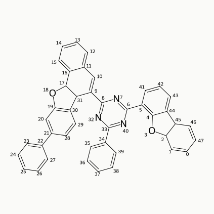 C1=CC2Oc3c(-c4nc(C5=Cc6ccccc6C6Oc7cc(-c8ccccc8)ccc7C56)nc(-c5ccccc5)n4)cccc3C2C=C1